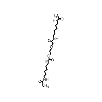 CC(=O)NCCCCCCNC(=O)COCCCOC(=O)NCCCCCCNC(C)=O